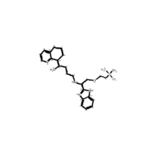 C[Si](C)(C)CCOCC(NCCCC(N)C1CCCc2cccnc21)c1nc2ccccc2[nH]1